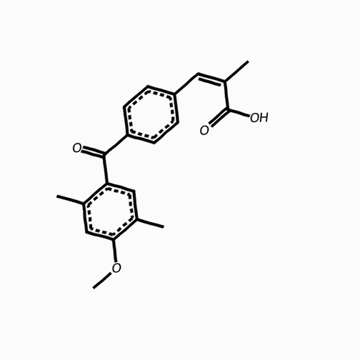 COc1cc(C)c(C(=O)c2ccc(C=C(C)C(=O)O)cc2)cc1C